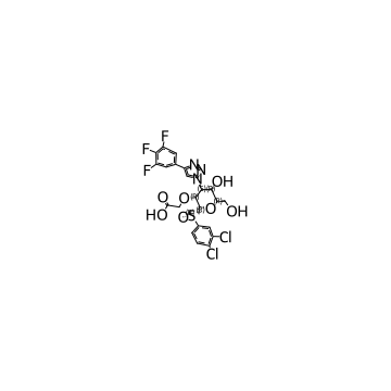 O=C(O)CO[C@@H]1[C@@H](n2cc(-c3cc(F)c(F)c(F)c3)nn2)[C@@H](O)[C@@H](CO)O[C@@H]1[S@@+]([O-])c1ccc(Cl)c(Cl)c1